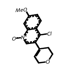 COc1ccc2c(Cl)c(C3=CCOCC3)c[n+]([O-])c2c1